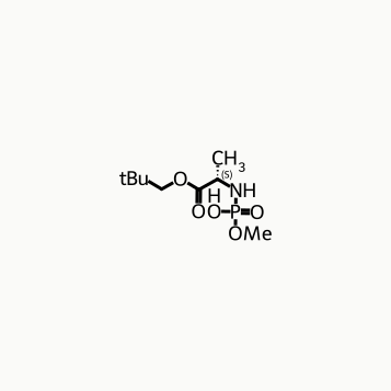 COP(=O)(O)N[C@@H](C)C(=O)OCC(C)(C)C